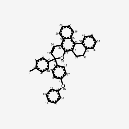 Cc1ccc(C2(c3ccc(Oc4ccccc4)cc3)C=Cc3c(c4c(c5ccccc35)-c3ccccc3CC4)O2)cc1